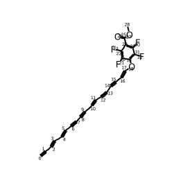 C#CC#CC#CC#CC#CC#CC#CC#CC#COc1c(F)c(F)c(C(=O)OC)c(F)c1F